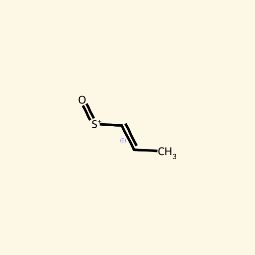 C/C=C/[S+]=O